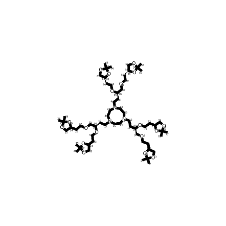 CC1(C)OCC(CCOC[C@@H](CCN2CCN(CC[C@H](COCCC3COC(C)(C)O3)OCCC3COC(C)(C)O3)CCN(CC[C@H](COCC[C@@H]3COC(C)(C)O3)OCC[C@@H]3COC(C)(C)O3)CC2)OCCC2COC(C)(C)O2)O1